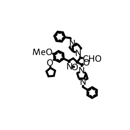 COc1ccc(C2=NOC(C(=O)N3CC4CC3CN4Cc3ccccc3)(C(C=O)N3CC4CC3CN4Cc3ccccc3)C2)cc1OC1CCCC1